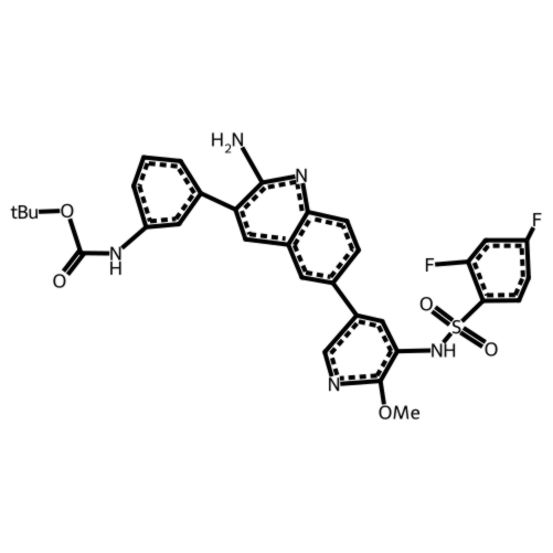 COc1ncc(-c2ccc3nc(N)c(-c4cccc(NC(=O)OC(C)(C)C)c4)cc3c2)cc1NS(=O)(=O)c1ccc(F)cc1F